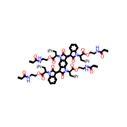 C=CC(=O)NCCOC(=O)C(CC(C)C)N1C(=O)/C(=C2/C(=O)N(C(CC(C)C)C(=O)OCCNC(=O)C=C)c3cc4c(cc32)N(C(CC(C)C)C(=O)OCCNC(=O)C=C)C(=O)/C4=C2/C(=O)N(C(CC(C)C)C(=O)OCCNC(=O)C=C)c3ccccc32)c2ccccc21